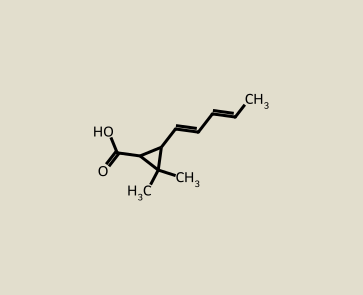 CC=CC=CC1C(C(=O)O)C1(C)C